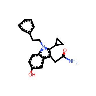 NC(=O)Cc1c(C2CC2)n(CCc2ccccc2)c2ccc(O)cc12